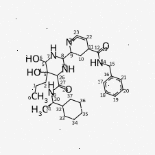 CCCC1(O)C(O)NC(C2CC(C(=O)NCc3ccccc3)C=C=N2)NC1C(=O)N[C@H](C)C1CCCCC1